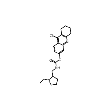 CCN1CCCC1CNC(=O)Oc1ccc2c(Cl)c3c(nc2c1)CCCC3